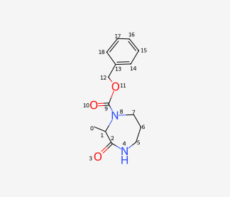 CC1C(=O)NCCCN1C(=O)OCc1ccccc1